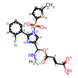 CNC(OC(=O)/C=C/C(=O)O)c1cn(S(=O)(=O)c2ccc(C)s2)c(-c2ccccc2F)n1